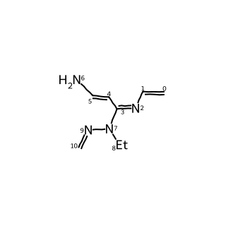 C=C/N=C(\C=C\N)N(CC)N=C